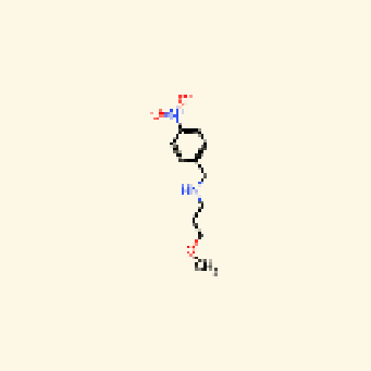 COCCCNCc1ccc([N+](=O)[O-])cc1